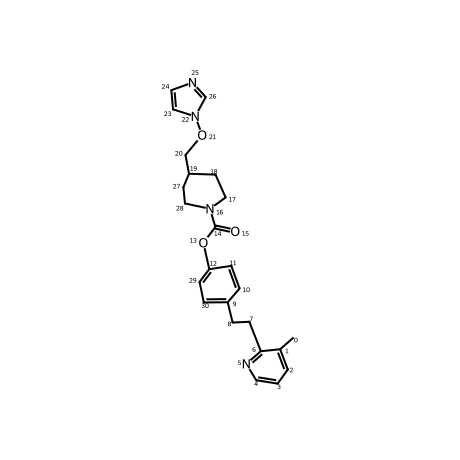 Cc1cccnc1CCc1ccc(OC(=O)N2CCC(COn3ccnc3)CC2)cc1